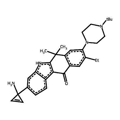 CCc1cc2c(cc1N1CCN(C(C)(C)C)CC1)C(C)(C)c1[nH]c3cc(C4(N)C=C4)ccc3c1C2=O